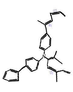 C=C/C(C)=C\C(=C(C)C)N(c1ccc(/C(C)=C/C=C\C)cc1)c1ccc(-c2ccccc2)cc1